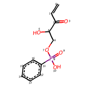 C=CC(=O)C(O)COP(=O)(O)c1ccccc1